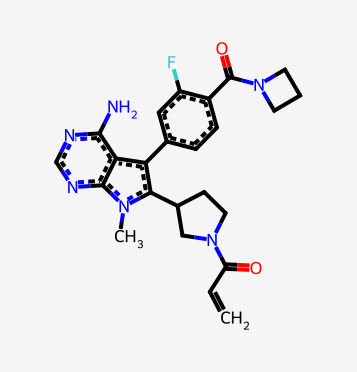 C=CC(=O)N1CCC(c2c(-c3ccc(C(=O)N4CCC4)c(F)c3)c3c(N)ncnc3n2C)C1